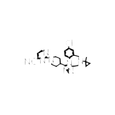 CC1(N2Cc3cc(Cl)ccc3-n3c(nnc3C3CCN(c4nccc(C#N)n4)CC3)C2)CC1